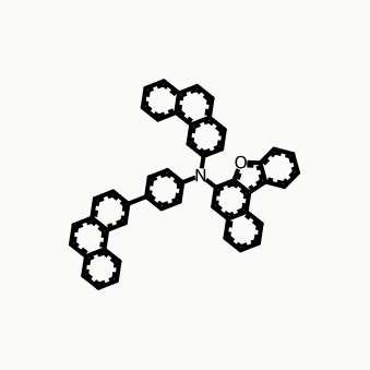 c1ccc2c(c1)ccc1ccc(-c3ccc(N(c4ccc5ccc6ccccc6c5c4)c4cc5ccccc5c5c4oc4ccccc45)cc3)cc12